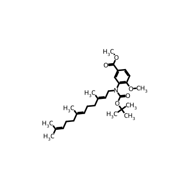 COC(=O)c1ccc(OC)c(N(C/C=C(\C)CC/C=C(\C)CCC=C(C)C)C(=O)OC(C)(C)C)c1